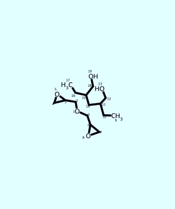 C(OCC1CO1)C1CO1.CCC(CO)CC(CC)CO